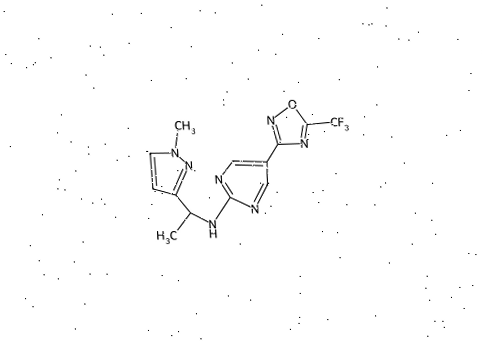 CC(Nc1ncc(-c2noc(C(F)(F)F)n2)cn1)c1ccn(C)n1